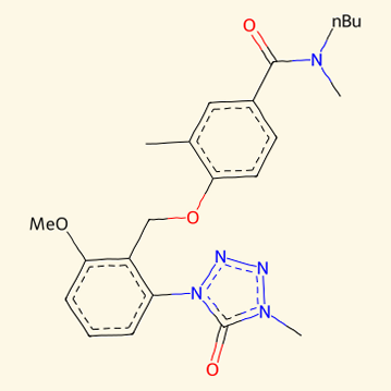 CCCCN(C)C(=O)c1ccc(OCc2c(OC)cccc2-n2nnn(C)c2=O)c(C)c1